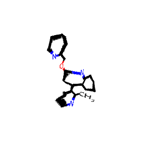 Cc1ncccc1-c1cc(OCc2ccccn2)nc2c1CCCC2